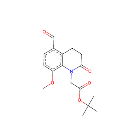 COc1ccc(C=O)c2c1N(CC(=O)OC(C)(C)C)C(=O)CC2